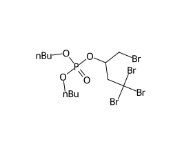 CCCCOP(=O)(OCCCC)OC(CBr)CC(Br)(Br)Br